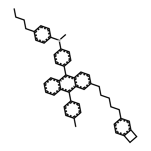 CCCCc1ccc(N(C)c2ccc(-c3c4ccccc4c(-c4ccc(C)cc4)c4cc(CCCCCc5ccc6c(c5)CC6)ccc34)cc2)cc1